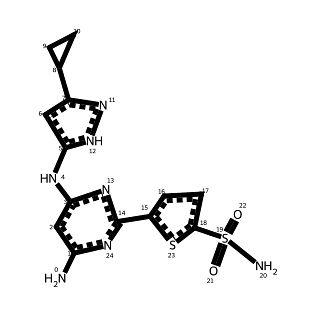 Nc1cc(Nc2cc(C3CC3)n[nH]2)nc(-c2ccc(S(N)(=O)=O)s2)n1